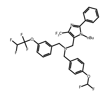 CCCCn1c(-c2ccccc2)nc(C(F)(F)F)c1CN(Cc1ccc(OC(F)F)cc1)Cc1cccc(OC(F)(F)C(F)F)c1